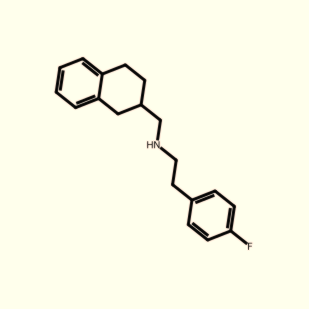 Fc1ccc(CCNCC2CCc3ccccc3C2)cc1